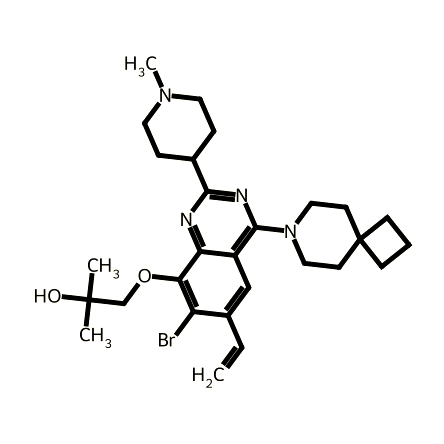 C=Cc1cc2c(N3CCC4(CCC4)CC3)nc(C3CCN(C)CC3)nc2c(OCC(C)(C)O)c1Br